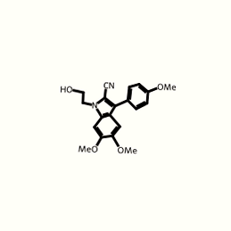 COc1ccc(-c2c(C#N)n(CCO)c3cc(OC)c(OC)cc23)cc1